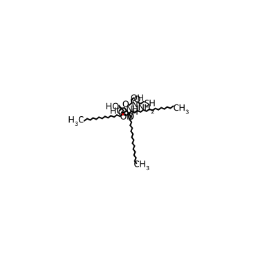 CCCCCCCCCCCCCCCCOC(CCCCCCCCCCCCCCCC)(CCCCCCCCCCCCCCCC)C(CC(O)CO)(NC(=O)C(CO)NC(=O)C(N)CS)C(=O)O